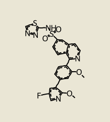 COc1cc(-c2cc(F)cnc2OC)ccc1-c1nccc2cc(S(=O)(=O)Nc3nncs3)ccc12